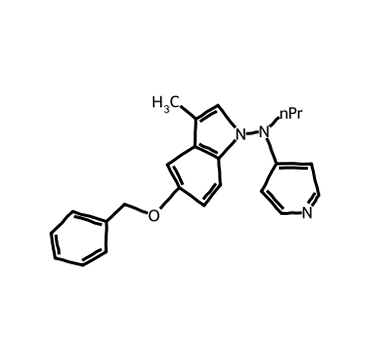 CCCN(c1ccncc1)n1cc(C)c2cc(OCc3ccccc3)ccc21